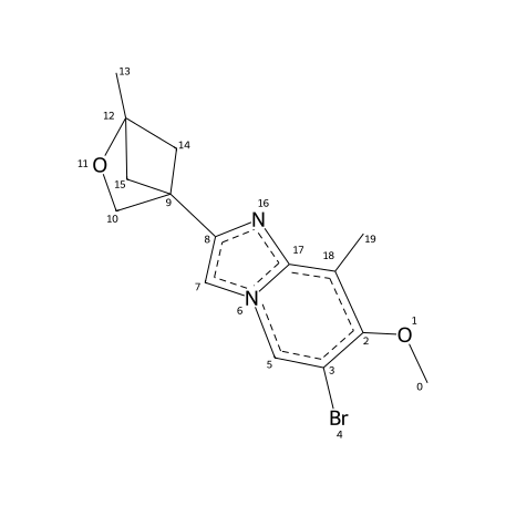 COc1c(Br)cn2cc(C34COC(C)(C3)C4)nc2c1C